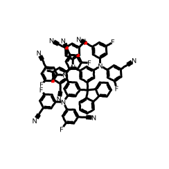 N#Cc1cc(F)cc(N(c2cc(F)cc(C#N)c2)c2cc(N(c3cc(F)cc(C#N)c3)c3cc(F)cc(C#N)c3)cc(C3(c4cc(N(c5cc(F)cc(C#N)c5)c5cc(F)cc(C#N)c5)cc(N(c5cc(F)cc(C#N)c5)c5cc(F)cc(C#N)c5)c4)c4ccccc4-c4ccccc43)c2)c1